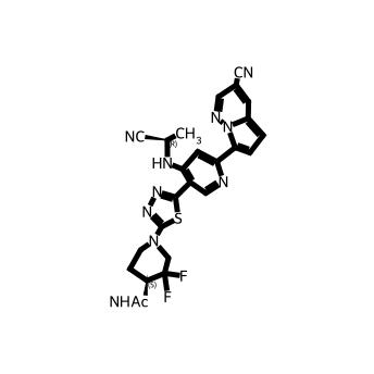 CC(=O)N[C@H]1CCN(c2nnc(-c3cnc(-c4ccc5cc(C#N)cnn45)cc3N[C@H](C)C#N)s2)CC1(F)F